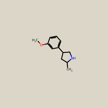 COc1cccc(C2CNC(C)C2)c1